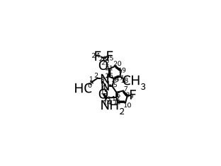 C#CCn1nc(-c2cc(F)ccc2C(N)=O)c2c(C)ccc(OC(F)F)c21